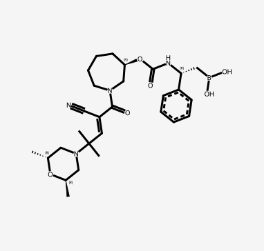 C[C@@H]1CN(C(C)(C)C=C(C#N)C(=O)N2CCCC[C@@H](OC(=O)N[C@H](CB(O)O)c3ccccc3)C2)C[C@@H](C)O1